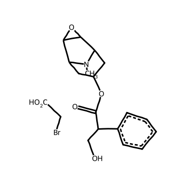 CN1C2CC(OC(=O)C(CO)c3ccccc3)CC1C1OC12.O=C(O)CBr